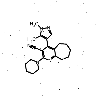 Cc1c(-c2c(C#N)c(N3CCCCC3)nc3c2CCCCC3)cnn1C